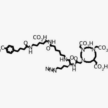 [N-]=[N+]=NCCCC[C@H](NC(=O)CN1CCC(CC(=O)O)CCN(CC(=O)O)CCN(CC(=O)O)CC1)C(=O)NCCCCCC(=O)N[C@H](CCCCNC(=O)CCCc1ccc(C(F)(F)F)cc1)C(=O)O